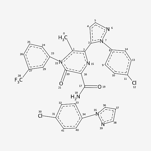 Cc1c(-c2ccnn2-c2ccc(Cl)cc2)nc(C(N)=O)c(=O)n1-c1cccc(C(F)(F)F)c1.Clc1ccc(-n2cccn2)cc1